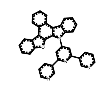 c1cncc(-c2cc(-n3c4ccccc4c4c5ccccc5c5c6ccccc6oc5c43)cc(-c3cccnc3)n2)c1